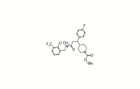 CN(Cc1cccc(C(F)(F)F)c1Cl)C(=O)CC(c1ccc(F)cc1)C1CCN(C(=O)OC(C)(C)C)CC1